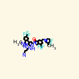 CC1CN(Cc2cc3c(c(C(F)(F)F)c2)CN(c2cc(-c4cc(C(F)(F)F)ccc4-c4nncn4C)cc(NCCCC#N)n2)C3=O)CCC1(F)F